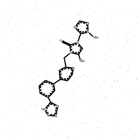 CCCCc1cn(-c2ncnn2CCCC)c(=O)n1Cc1cc(-c2cccc(-c3nnn[nH]3)c2)ccn1